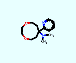 CN(C)C1(c2ccccn2)CCOCCOCC1